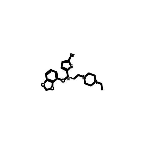 CCN1CCN(CC[C@H](Oc2cccc3c2OCO3)c2ccc(Br)s2)CC1